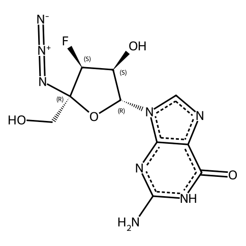 [N-]=[N+]=N[C@]1(CO)O[C@@H](n2cnc3c(=O)[nH]c(N)nc32)[C@H](O)[C@@H]1F